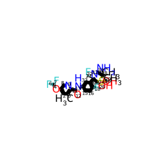 Cc1cc(OC(F)F)cnc1C(=O)Nc1ccc(F)c([C@]2(CF)CS(O)(O)C(C)(C)C(N)=N2)c1